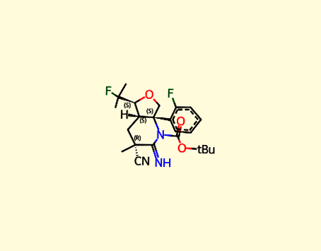 CC(C)(C)OC(=O)N1C(=N)[C@](C)(C#N)C[C@@H]2[C@@H](C(C)(C)F)OC[C@@]21c1ccccc1F